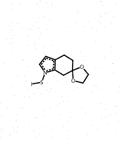 ISn1ccc2c1CC1(CC2)OCCO1